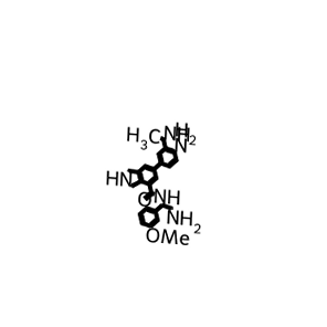 COc1cccc(C(CN)NC(=O)c2cc(-c3ccc(N)c(C(C)=N)c3)cc3c2CNC3)c1